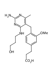 COc1cc(CCC(=O)O)ccc1Cc1c(C)nc(N)nc1NCCCO